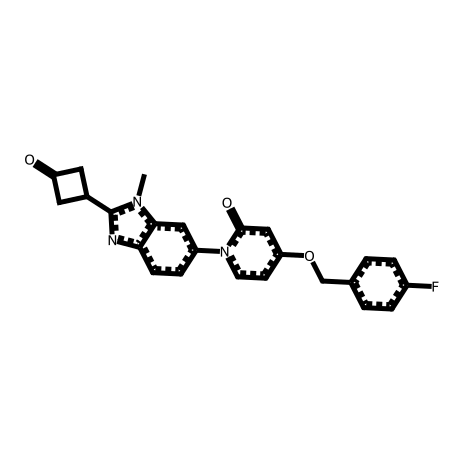 Cn1c(C2CC(=O)C2)nc2ccc(-n3ccc(OCc4ccc(F)cc4)cc3=O)cc21